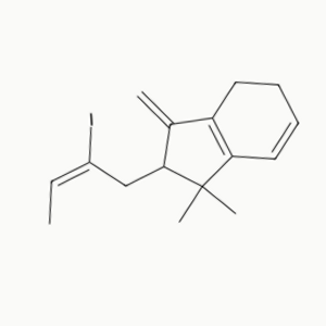 C=C1C2=C(C=CCC2)C(C)(C)C1C/C(I)=C\C